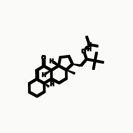 C[SiH](C)OC(C[C@H]1CC[C@H]2[C@@H]3C(=O)C=C4CCCC[C@]4(C)[C@H]3CC[C@]12C)C(C)(C)C